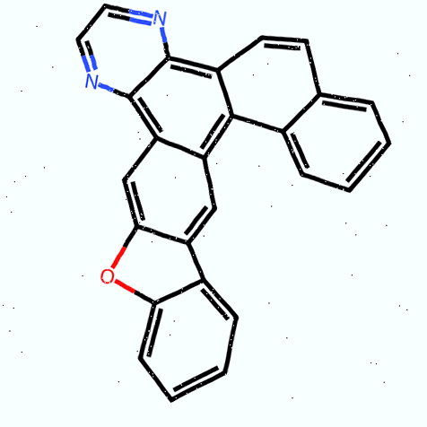 c1ccc2c(c1)ccc1c3nccnc3c3cc4oc5ccccc5c4cc3c21